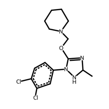 CC1N=C(OCN2CCCCC2)N(c2ccc(Cl)c(Cl)c2)N1